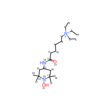 CC[N+](CC)(CC)CCCCCC(=O)NC1CC(C)(C)N(O)C(C)(C)C1